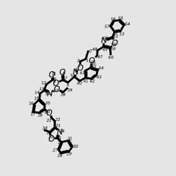 CCCON=C(CC(=O)OC(=O)CC(Cc1cccc(OCCc2nc(-c3ccccc3)oc2C)c1)=NOCC)Cc1cccc(OCCc2nc(-c3ccccc3)oc2C)c1